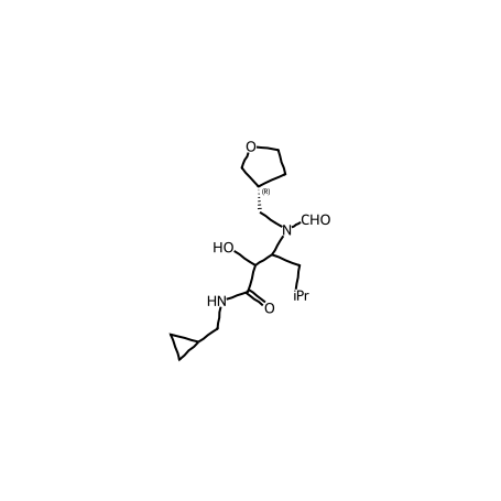 CC(C)CC(C(O)C(=O)NCC1CC1)N(C=O)C[C@H]1CCOC1